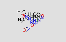 C=CC(=O)N1C[C@H](C)N(c2nc(OCCN3CCOCC3)nc3c2=CC(c2c(C)ccc4onc(N)c24)C=3F)C[C@H]1C